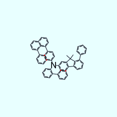 CC1(C)c2cc(N(c3ccc(-c4cccc5cccc(-c6ccccc6)c45)cc3)c3ccccc3-c3ccccc3)ccc2-c2cccc(-c3ccccc3)c21